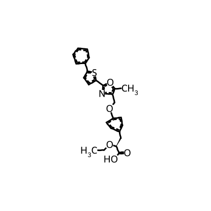 CCO[C@@H](Cc1ccc(OCc2nc(-c3ccc(-c4ccccc4)s3)oc2C)cc1)C(=O)O